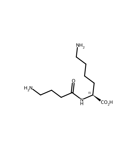 NCCCC[C@H](NC(=O)CCCN)C(=O)O